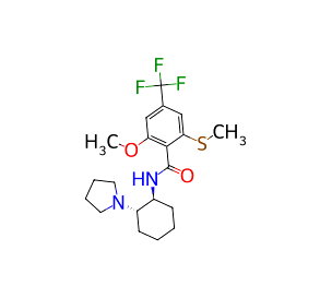 COc1cc(C(F)(F)F)cc(SC)c1C(=O)N[C@H]1CCCC[C@@H]1N1CCCC1